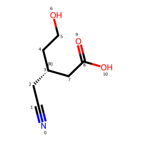 N#CC[C@H](CCO)CC(=O)O